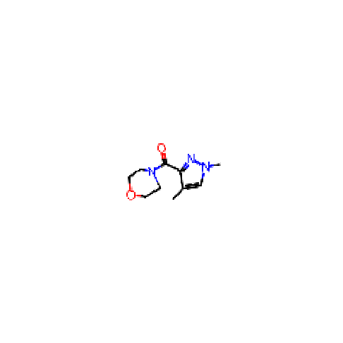 Cc1cn(C)nc1C(=O)N1CCOCC1